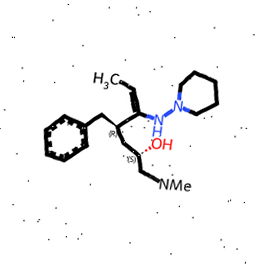 CC=C(NN1CCCCC1)[C@H](Cc1ccccc1)C[C@H](O)CNC